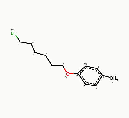 Bc1ccc(OCCCCCCBr)cc1